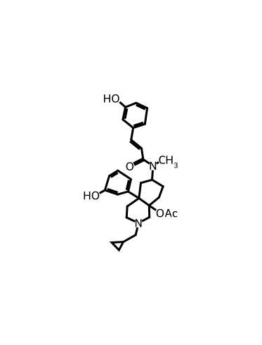 CC(=O)OC12CCC(N(C)C(=O)/C=C/c3cccc(O)c3)CC1(c1cccc(O)c1)CCN(CC1CC1)C2